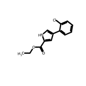 CCOC(=O)c1cc(-c2ccccc2Cl)c[nH]1